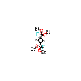 CCO[Si](F)(OCC)C1CC([Si](F)(OCC)OCC)C1